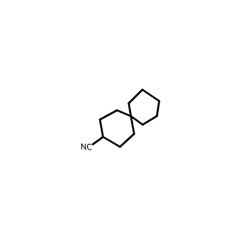 N#CC1CCC2(CCCCC2)CC1